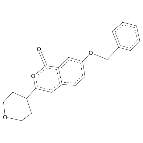 O=c1oc(C2CCOCC2)cc2ccc(OCc3ccccc3)cc12